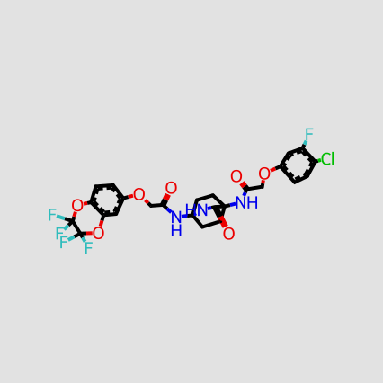 O=C(COc1ccc2c(c1)OC(F)(F)C(F)(F)O2)NC12CCC(NC(=O)COc3ccc(Cl)c(F)c3)(CC1)C(=O)N2